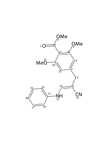 COC(=O)c1c(OC)cc(CC(C#N)=CNc2ccccc2)cc1OC